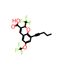 CCCC#Cc1cc(OC(F)(F)F)cc2c1OC(C(F)(F)F)C(C(=O)O)=C2